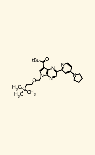 CC(C)(C)C(=O)c1cn(COCC[Si](C)(C)C)c2ncc(-c3cc(N4CCCC4)ccn3)nc12